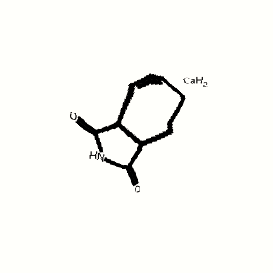 O=C1NC(=O)C2CCC=CC12.[CaH2]